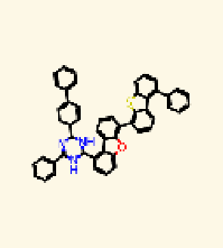 C1=CC(C2N=C(c3ccccc3)NC(c3cccc4oc5c(-c6cccc7c6sc6cccc(-c8ccccc8)c67)cccc5c34)N2)CC=C1c1ccccc1